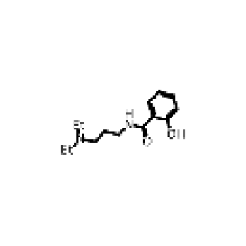 CCN(CC)CCCNC(=O)c1ccccc1O